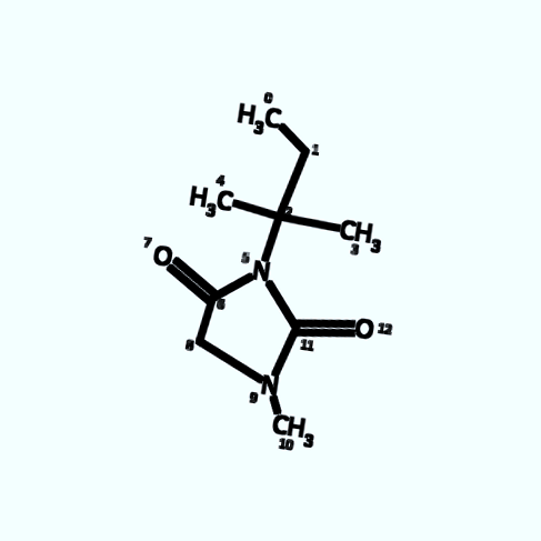 CCC(C)(C)N1C(=O)CN(C)C1=O